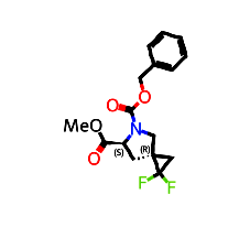 COC(=O)[C@@H]1C[C@]2(CN1C(=O)OCc1ccccc1)CC2(F)F